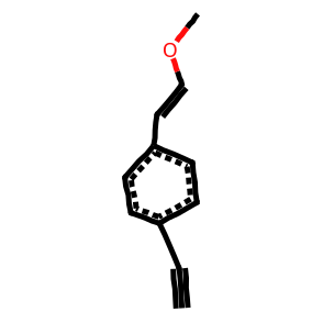 C#Cc1ccc(/C=C/OC)cc1